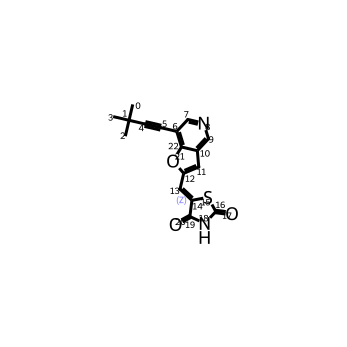 CC(C)(C)C#Cc1cncc2cc(/C=C3\SC(=O)NC3=O)oc12